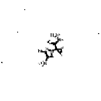 NNC(=O)C1(n2cc([N+](=O)[O-])c(F)n2)CC1